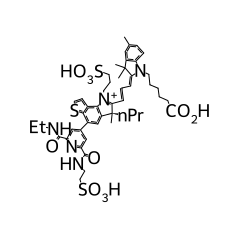 CCC[C@]1(C)C(/C=C/C=C2/N(CCCCCC(=O)O)c3ccc(C)cc3C2(C)C)=[N+](CCCS(=O)(=O)O)c2c1cc(-c1cc(C(=O)NCC)nc(C(=O)NCCS(=O)(=O)O)c1)c1sccc21